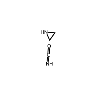 C1CN1.N=C=O